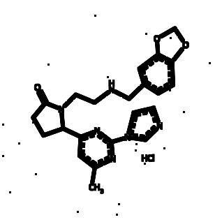 Cc1cc(C2CCC(=O)N2CCNCc2ccc3c(c2)OCO3)nc(-n2ccnc2)n1.Cl